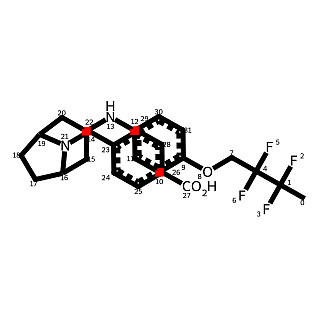 CC(F)(F)C(F)(F)COc1ccc(NC2CC3CCC(C2)N3Cc2ccc(C(=O)O)cc2)cc1